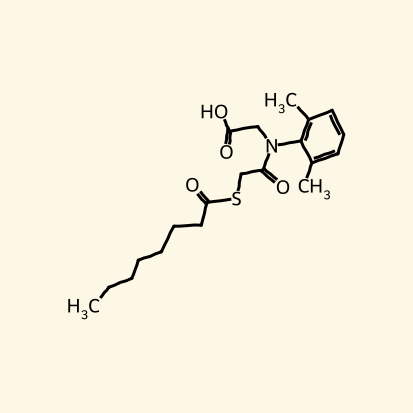 CCCCCCCC(=O)SCC(=O)N(CC(=O)O)c1c(C)cccc1C